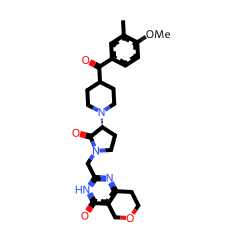 COc1ccc(C(=O)C2CCN([C@@H]3CCN(Cc4nc5c(c(=O)[nH]4)COCC5)C3=O)CC2)cc1C